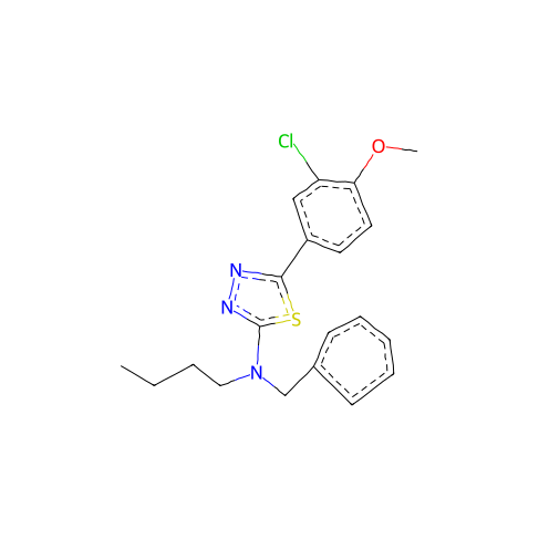 CCCCN(Cc1ccccc1)c1nnc(-c2ccc(OC)c(Cl)c2)s1